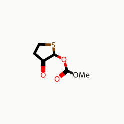 COC(=O)OC1SCCC1=O